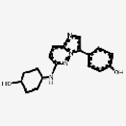 Oc1ccc(-c2cnc3ccc(NC4CCC(O)CC4)nn23)cc1